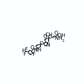 COc1cc2c(Oc3ccc(NC(=O)c4cc(C(F)(F)F)ccc4F)cc3)ccnc2cc1OCCC(N)C(=O)O